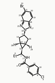 CCC(NC(=O)c1ccc(Cl)cc1)[C@H]1[C@@H]2C[C@@H](n3nc4ccc(Br)cc4n3)C[C@@H]21